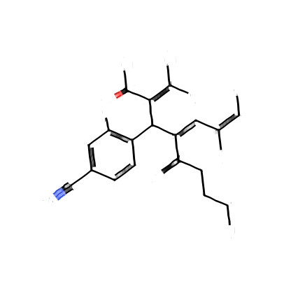 C=C(CCCC)/C(=C\C(C)=C/C)C(C(C(C)=O)=C(C)C)c1ccc(C#N)cc1C